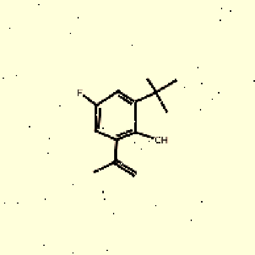 C=C(C)c1cc(F)cc(C(C)(C)C)c1O